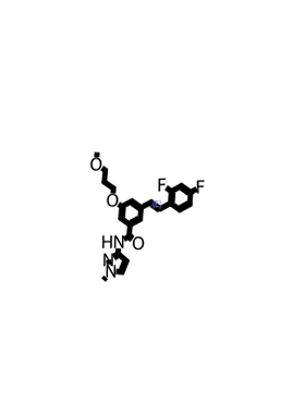 COCCCOc1cc(/C=C/c2ccc(F)cc2F)cc(C(=O)Nc2ccn(C)n2)c1